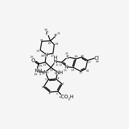 CN1c2ccc(C(=O)O)cc2NC1(Nc1nc2ccc(Cl)cc2s1)C(C(N)=O)N1CCC(F)(F)CC1